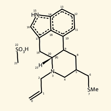 C=CCN1CC(CSC)CC2c3cccc4[nH]cc(c34)C[C@H]21.CS(=O)(=O)O